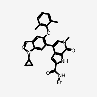 CCNC(=O)c1cc2c(-c3cc4c(cnn4C4CC4)cc3Oc3c(C)cccc3C)cn(C)c(=O)c2[nH]1